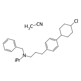 CC#N.CC(C)N(CCCc1ccc(C2CCC(Cl)CC2)cc1)Cc1ccccc1